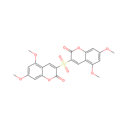 COc1cc(OC)c2cc(S(=O)(=O)c3cc4c(OC)cc(OC)cc4oc3=O)c(=O)oc2c1